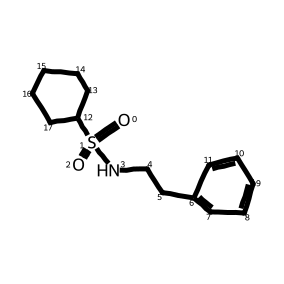 O=S(=O)(NCCc1cc[c]cc1)C1CCCCC1